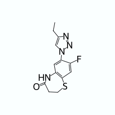 CCc1cn(-c2cc3c(cc2F)SCCC(=O)N3)nn1